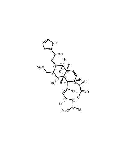 CC[C@@H](OC)[C@H]1OC(=O)[C@H](CC)[C@H]2C=C[C@H]3[C@H]4O[C@]2(/C(C)=C/[C@H]1C)[C@@H]3[C@H](O)[C@@H](COC)[C@H]4OC(=O)c1ccc[nH]1